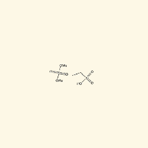 CCS(=O)(=O)O.COS(=O)(=O)OC